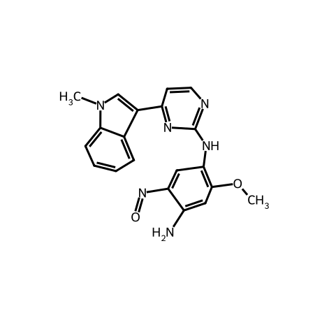 COc1cc(N)c(N=O)cc1Nc1nccc(-c2cn(C)c3ccccc23)n1